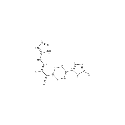 CC(=NNc1nnn[nH]1)C(=O)N1CCN(c2ncc(C)o2)CC1